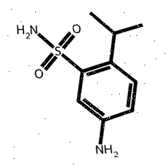 CC(C)c1ccc(N)cc1S(N)(=O)=O